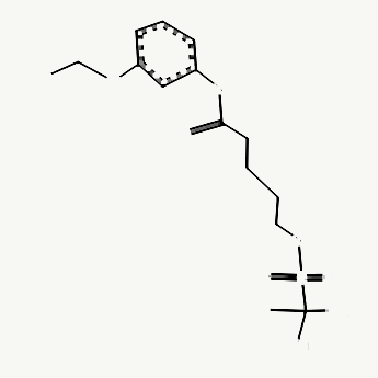 CCOc1cccc(NC(=O)CCCCNS(=O)(=O)C(C)(C)C)c1